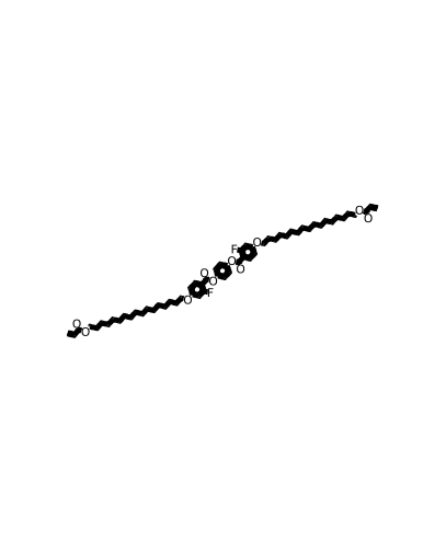 C=CC(=O)OCCCCCCCCCCCCCCCCCOc1ccc(C(=O)Oc2ccc(OC(=O)c3ccc(OCCCCCCCCCCCCCCCCCOC(=O)C=C)cc3F)cc2)c(F)c1